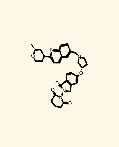 C[C@H]1CC(c2ccc3cc(CN4CC[C@H](Oc5ccc6c(c5)CN(N5C(=O)CCCC5=O)C6=O)C4)ccc3n2)CCO1